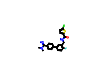 CN(C)C(=N)c1ccc(-c2ccc(F)c(CNC(=O)c3ccc(Cl)s3)c2)cc1